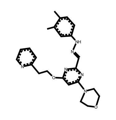 Cc1ccc(N/N=C/c2nc(OCCc3ccccn3)cc(N3CCOCC3)n2)cc1C